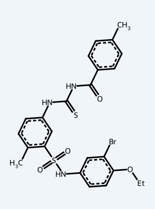 CCOc1ccc(NS(=O)(=O)c2cc(NC(=S)NC(=O)c3ccc(C)cc3)ccc2C)cc1Br